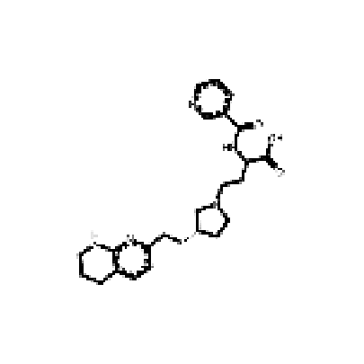 O=C(NC(CCN1CC[C@H](CCc2ccc3c(n2)NCCC3)C1)C(=O)O)c1cccnc1